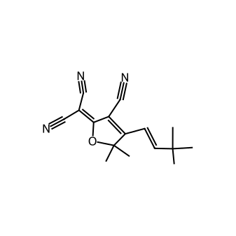 CC(C)(C)/C=C/C1=C(C#N)C(=C(C#N)C#N)OC1(C)C